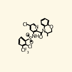 CC1COc2ccccc2N1C(=O)c1ncc(Cl)cc1NS(=O)(=O)c1cccc(C(F)(F)F)c1Cl